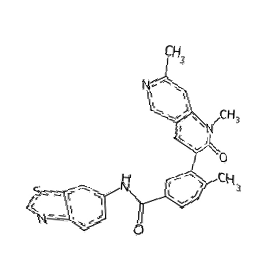 Cc1cc2c(cn1)cc(-c1cc(C(=O)Nc3ccc4ncsc4c3)ccc1C)c(=O)n2C